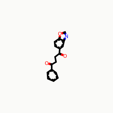 O=C(CCC(=O)c1ccc2ocnc2c1)c1ccccc1